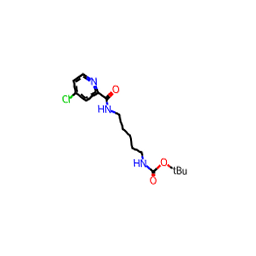 CC(C)(C)OC(=O)NCCCCCNC(=O)c1cc(Cl)ccn1